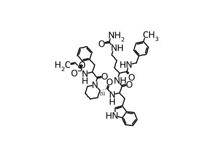 C=CS(=O)(=O)NC(Cc1ccccc1)C(=O)N1CCCC[C@H]1C(=O)NC(Cc1c[nH]c2ccccc12)C(=O)NC(CCCNC(N)=O)C(=O)NCc1ccc(C)cc1